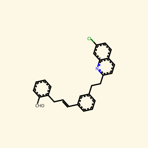 O=Cc1ccccc1CC=Cc1cccc(CCc2ccc3ccc(Cl)cc3n2)c1